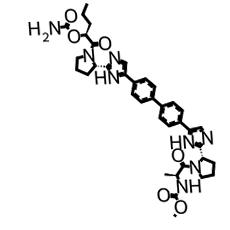 CCC[C@H](OC(N)=O)C(=O)N1CCC[C@H]1c1ncc(-c2ccc(-c3ccc(-c4cnc([C@@H]5CCCN5C(=O)[C@H](C)NC(=O)OC)[nH]4)cc3)cc2)[nH]1